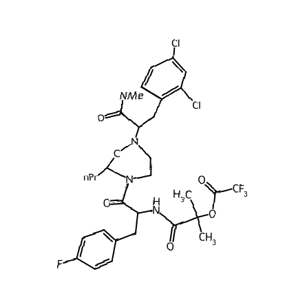 CCCC1CN(C(Cc2ccc(Cl)cc2Cl)C(=O)NC)CCN1C(=O)C(Cc1ccc(F)cc1)NC(=O)C(C)(C)OC(=O)C(F)(F)F